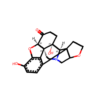 O=C1CC[C@@]2(O)[C@@H]3N4CC[C@@]25c2c(ccc(O)c2O[C@@H]15)C31CCOC1C4